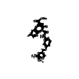 COC(=O)C1C[C@H]2CN1c1cc(F)cnc1N2C(=O)Nc1cc(OC[C@H]2COC(C)(C)O2)ccn1